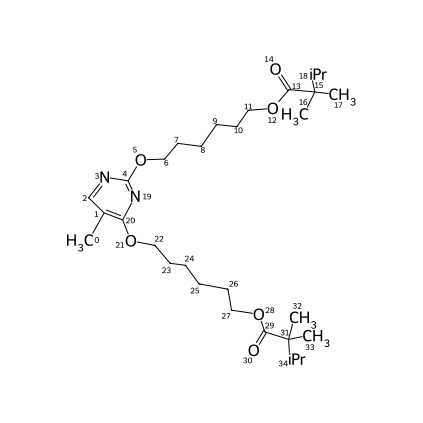 Cc1cnc(OCCCCCCOC(=O)C(C)(C)C(C)C)nc1OCCCCCCOC(=O)C(C)(C)C(C)C